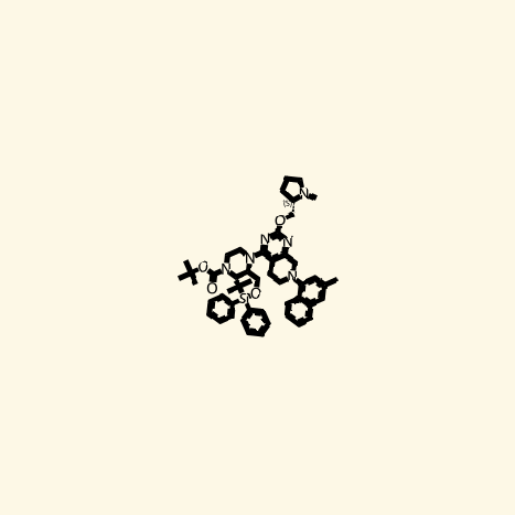 Cc1cc(N2CCc3c(nc(OC[C@@H]4CCCN4C)nc3N3CCN(C(=O)OC(C)(C)C)CC3CO[Si](c3ccccc3)(c3ccccc3)C(C)(C)C)C2)c2ccccc2c1